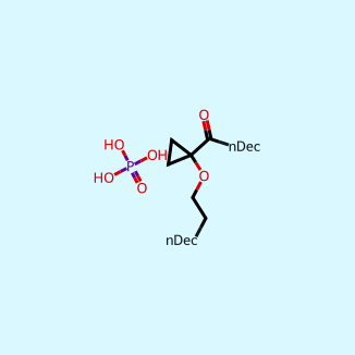 CCCCCCCCCCCCOC1(C(=O)CCCCCCCCCC)CC1.O=P(O)(O)O